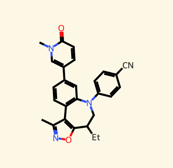 CCC1CN(c2ccc(C#N)cc2)c2cc(-c3ccc(=O)n(C)c3)ccc2-c2c(C)noc21